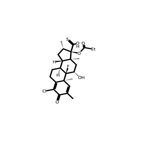 CCC(=O)O[C@]1(C(O)=S)[C@@H](C)C[C@H]2[C@@H]3CCC4=C(Cl)C(=O)C(C)=C[C@]4(C)[C@@]3(F)[C@@H](O)C[C@@]21C